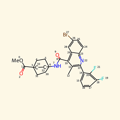 COC(=O)C12CCC(NC(=O)c3c(C)c(-c4cccc(F)c4F)nc4ccc(Br)cc34)(CC1)CC2